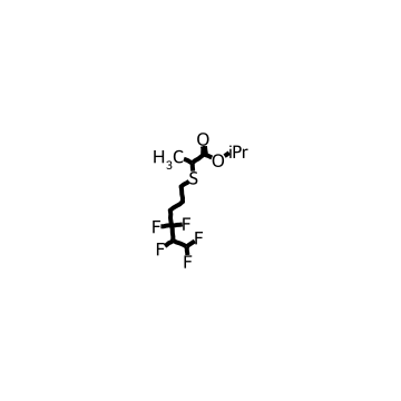 CC(C)OC(=O)C(C)SCCCC(F)(F)C(F)C(F)F